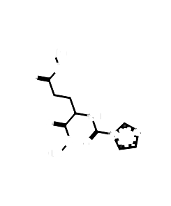 CC(C)(C)OC(=O)CCC(NC(=O)n1ccnc1)C(=O)OC(C)(C)C